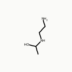 CC(O)NCCN